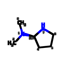 CN(C)[C@@H]1CCCN1